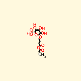 CCC(=O)OC(=O)CCCOC1O[C@H](C(=O)O)[C@@H](O)[C@H](O)[C@H]1O